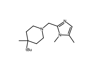 Cc1cnc(CN2CCC(C)(C(C)(C)C)CC2)n1C